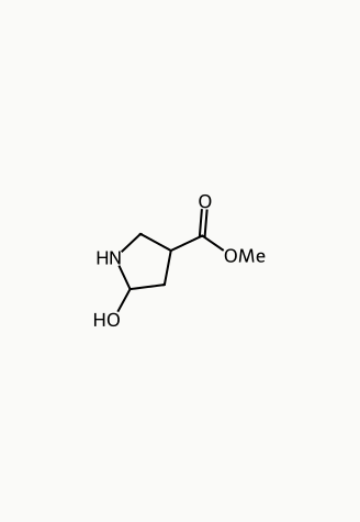 COC(=O)C1CNC(O)C1